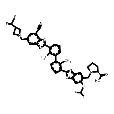 Cc1c(-c2nc3cc(CN4CCC[C@H]4C(=O)O)c(OC(F)F)cc3o2)cccc1-c1cccc(-c2nc3cc(CN4CC(C(F)F)C4)cc(C#N)c3o2)c1C